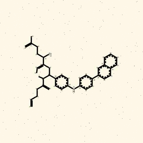 C=CCCC(=C)C(C)C(C/C(=C\C)C(CC)CCC(=C)C)c1ccc(Nc2ccc(-c3ccc4ccccc4c3)cc2)cc1